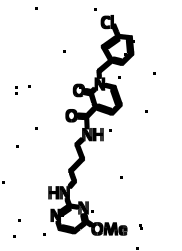 COc1ccnc(NCCCCNC(=O)c2cccn(Cc3cccc(Cl)c3)c2=O)n1